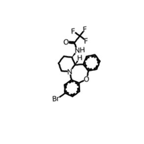 O=C(N[C@@H]1CCCN2c3cc(Br)ccc3Oc3ccccc3[C@@H]12)C(F)(F)F